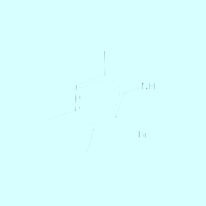 Cc1cc(C)c(N)c(Br)c1C